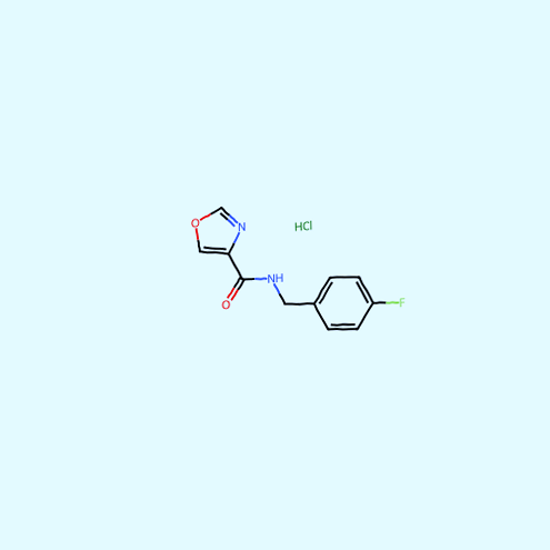 Cl.O=C(NCc1ccc(F)cc1)c1cocn1